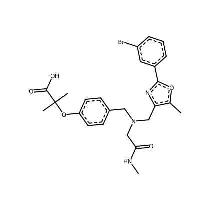 CNC(=O)CN(Cc1ccc(OC(C)(C)C(=O)O)cc1)Cc1nc(-c2cccc(Br)c2)oc1C